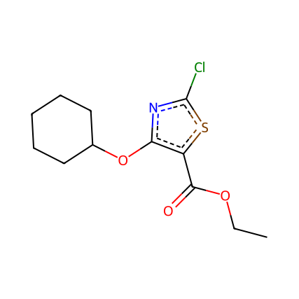 CCOC(=O)c1sc(Cl)nc1OC1CCCCC1